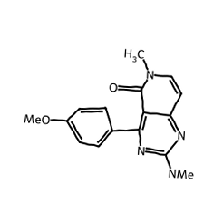 CNc1nc(-c2ccc(OC)cc2)c2c(=O)n(C)ccc2n1